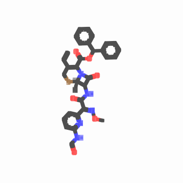 C=CC1=C(C(=O)OC(c2ccccc2)c2ccccc2)N2C(=O)C(NC(=O)C(=NOC)c3cccc(NC=O)n3)[C@@H]2SC1